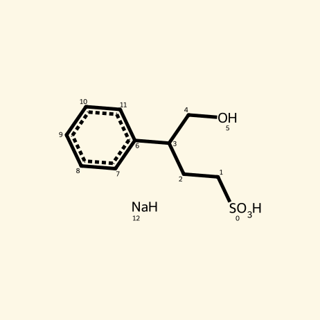 O=S(=O)(O)CCC(CO)c1ccccc1.[NaH]